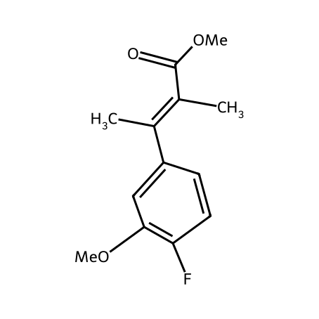 COC(=O)/C(C)=C(\C)c1ccc(F)c(OC)c1